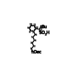 CCCCCCCCCCCCCCCCc1ccccc1C(C(C)(C)C)S(=O)(=O)O